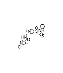 Cc1cc(Cl)nc(C)c1C(=O)NCCC(C)N1CCC(N(Cc2ccsc2)C(=O)Nc2ccccc2)CC1